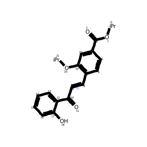 CC(C)OC(=O)c1ccc(/C=C/C(=O)c2ccccc2O)c(OC(C)C)c1